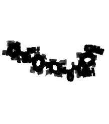 COc1ccc2[nH]cc(CC(=O)N3CCN(c4ccc(NC(=N)c5cccs5)cc4)CC3)c2c1